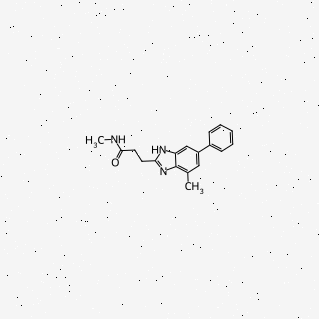 CNC(=O)CCc1nc2c(C)cc(-c3ccccc3)cc2[nH]1